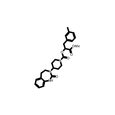 COC(=O)C(Cc1cccc(C)c1)OC(=O)N1CCC(N2CCc3ccccc3NC2=O)CC1